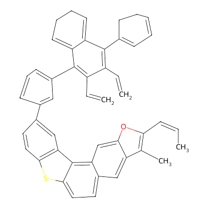 C=Cc1c(C=C)c(-c2cccc(-c3ccc4sc5ccc6cc7c(C)c(/C=C\C)oc7cc6c5c4c3)c2)c2c(c1C1=CC=CCC1)=CCCC=2